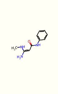 CNC(N)=CC(=O)Nc1ccccc1